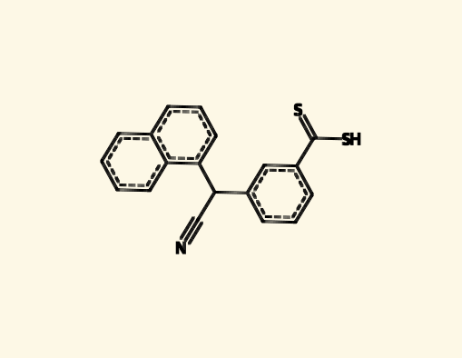 N#CC(c1cccc(C(=S)S)c1)c1cccc2ccccc12